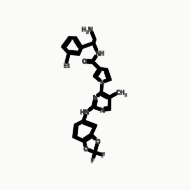 CCc1cccc(C(CN)NC(=O)c2ccn(-c3nc(Nc4ccc5c(c4)OC(F)(F)O5)ncc3C)c2)c1